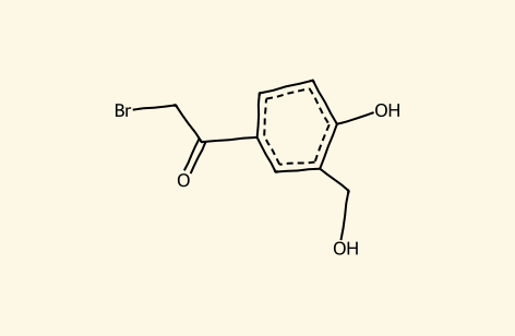 O=C(CBr)c1ccc(O)c(CO)c1